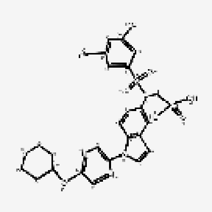 O=P(O)(O)CN(c1ccc2c(ccn2-c2cnc(OC3CCOCC3)cn2)c1)S(=O)(=O)c1cc(Cl)cc(Cl)c1